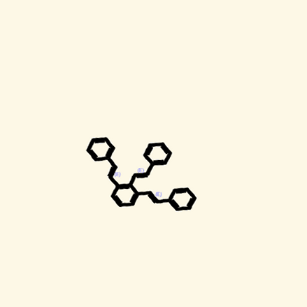 C(=C\c1cccc(/C=C/c2ccccc2)c1/C=C/c1ccccc1)/c1ccccc1